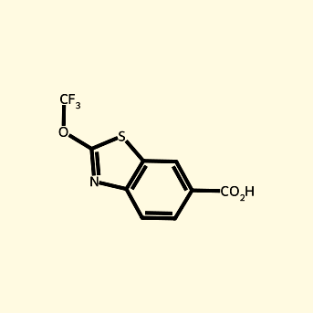 O=C(O)c1ccc2nc(OC(F)(F)F)sc2c1